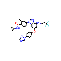 Cc1cc(-n2cnc3c(NCCC(F)(F)F)cc(Oc4ccc(-n5cncn5)cc4)cc32)ccc1C(=O)NC1CC1